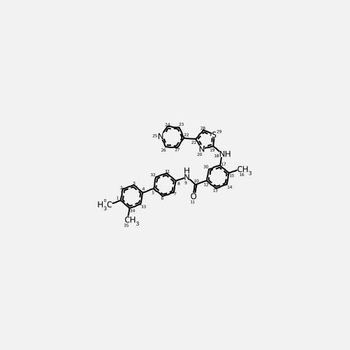 Cc1ccc(-c2ccc(NC(=O)c3ccc(C)c(Nc4nc(-c5ccncc5)cs4)c3)cc2)cc1C